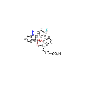 O=C(O)CC/C=C\C[C@@H]1COC(c2c(-c3ccc(F)cc3)[nH]c3ccccc23)O[C@@H]1c1ccccc1